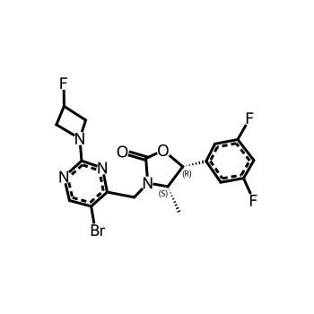 C[C@H]1[C@@H](c2cc(F)cc(F)c2)OC(=O)N1Cc1nc(N2CC(F)C2)ncc1Br